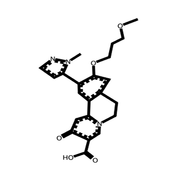 COCCCOc1cc2c(cc1-c1ccnn1C)-c1cc(=O)c(C(=O)O)cn1CC2